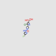 O=C(Nc1ccc(CF)cn1)N1CC=C(c2ncc([C@H](O)CO)cc2Cl)CC1